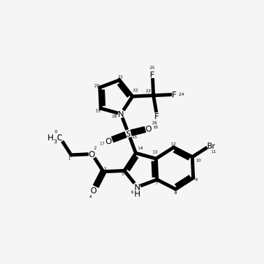 CCOC(=O)c1[nH]c2ccc(Br)cc2c1S(=O)(=O)n1cccc1C(F)(F)F